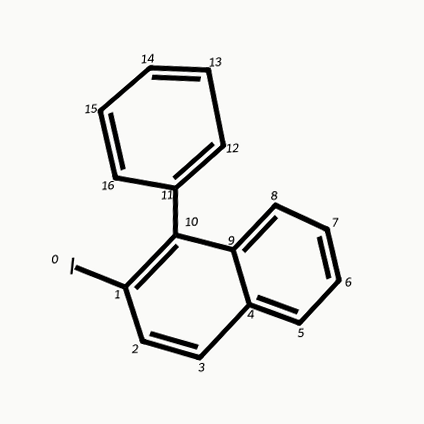 Ic1ccc2ccccc2c1-c1ccccc1